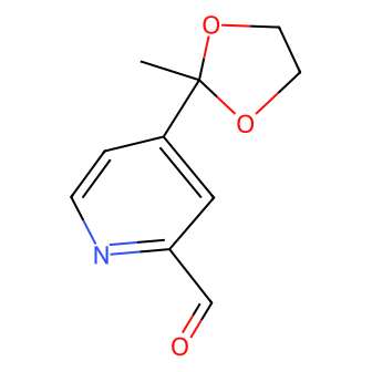 CC1(c2ccnc(C=O)c2)OCCO1